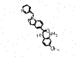 Cc1ccc(NC(=O)c2ccc3c(cnn3Cc3cccnc3)c2)c(N)c1